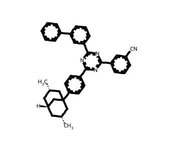 C[C@@H]1C[C@@H]2C[C@H](C)CC(c3ccc(-c4nc(-c5cccc(C#N)c5)nc(-c5cccc(-c6ccccc6)c5)n4)cc3)(C1)C2